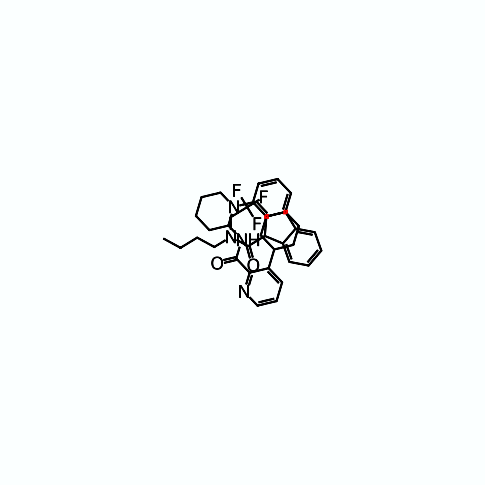 CCCCN(CC(F)(F)F)C(=O)C1c2ccccc2-c2cccc(N3CCCCC3NC(=O)c3ncccc3C3CCCCC3)c21